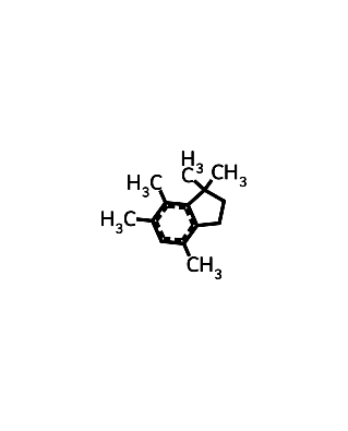 Cc1cc(C)c2c(c1C)C(C)(C)CC2